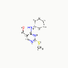 CSc1ncc(C=O)c(NC2CCCCC2)n1